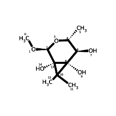 CO[C@H]1O[C@H](C)[C@@H](O)[C@@]2(O)C(C)(C)[C@@]12O